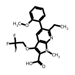 CCc1nc2c(cc1-c1ccccc1OC)c(OCC(F)(F)F)c(C(=O)O)n2C